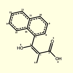 CC(C(=O)O)=C(O)c1cccc2ccccc12